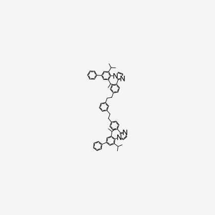 CC(C)c1cc(-c2ccccc2)cc(C(C)C)c1-n1ccnc1-c1ccc(CCc2cccc(CCc3ccc(-c4nccn4-c4c(C(C)C)cc(-c5ccccc5)cc4C(C)C)cc3)c2)cc1